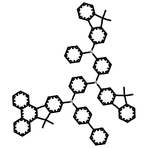 CC1(C)c2ccccc2-c2cc(N(c3ccccc3)c3cccc(N(c4cccc(N(c5ccc(-c6ccccc6)cc5)c5ccc6c(c5)C(C)(C)c5c-6c6ccccc6c6ccccc56)c4)c4ccc5c(c4)C(C)(C)c4ccccc4-5)c3)ccc21